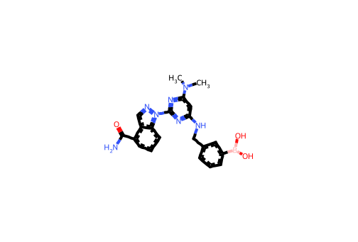 CN(C)c1cc(NCc2cccc(B(O)O)c2)nc(-n2ncc3c(C(N)=O)cccc32)n1